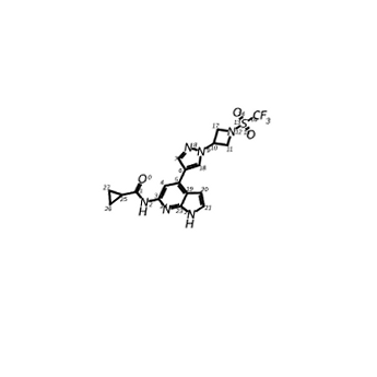 O=C(Nc1cc(-c2cnn(C3CN(S(=O)(=O)C(F)(F)F)C3)c2)c2cc[nH]c2n1)C1CC1